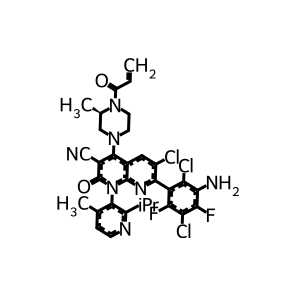 C=CC(=O)N1CCN(c2c(C#N)c(=O)n(-c3c(C)ccnc3C(C)C)c3nc(-c4c(F)c(Cl)c(F)c(N)c4Cl)c(Cl)cc23)C[C@H]1C